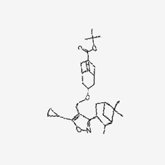 CC1C(c2noc(C3CC3)c2COC2CC3CC(C(=O)OC(C)(C)C)CC(C2)N3)CC2CC1C2(C)C